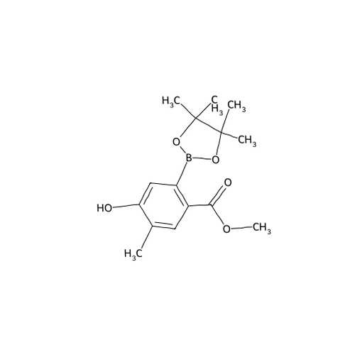 COC(=O)c1cc(C)c(O)cc1B1OC(C)(C)C(C)(C)O1